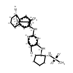 CS(=O)(=O)N[C@@H]1CCCC[C@H]1Nc1nc(Nc2ccc3c(c2)C2CC[C@@H]3CN(C(=O)C(F)(F)F)C2)ncc1Cl